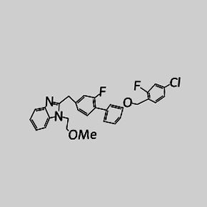 COCCn1c(Cc2ccc(-c3cccc(OCc4ccc(Cl)cc4F)c3)c(F)c2)nc2ccccc21